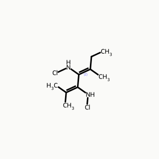 CC/C(C)=C(\NCl)C(NCl)=C(C)C